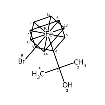 CC(C)(O)[C]12[CH]3[CH]4[CH]5[C]1(Br)[Fe]45321678[CH]2[CH]1[CH]6[CH]7[CH]28